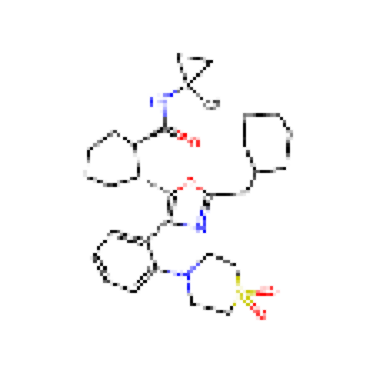 N#CC1(NC(=O)[C@@H]2CCCC[C@H]2c2oc(CC3CCCCC3)nc2-c2ccccc2N2CCS(=O)(=O)CC2)CC1